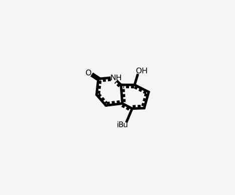 CCC(C)c1ccc(O)c2[nH]c(=O)ccc12